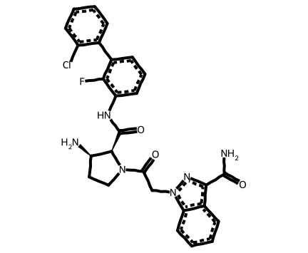 NC(=O)c1nn(CC(=O)N2CC[C@@H](N)[C@H]2C(=O)Nc2cccc(-c3ccccc3Cl)c2F)c2ccccc12